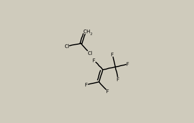 C=C(Cl)Cl.FC(F)=C(F)C(F)(F)F